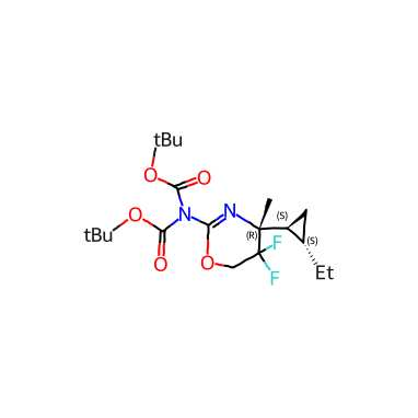 CC[C@H]1C[C@@H]1[C@@]1(C)N=C(N(C(=O)OC(C)(C)C)C(=O)OC(C)(C)C)OCC1(F)F